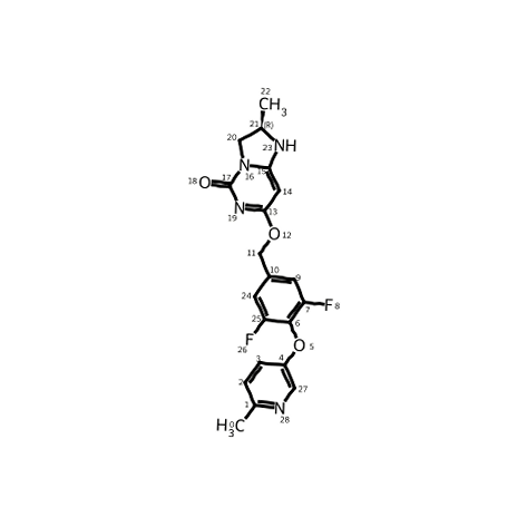 Cc1ccc(Oc2c(F)cc(COc3cc4n(c(=O)n3)C[C@@H](C)N4)cc2F)cn1